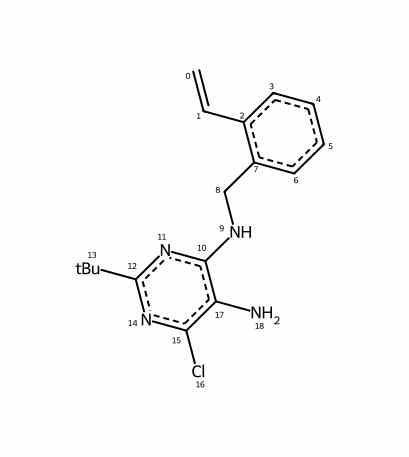 C=Cc1ccccc1CNc1nc(C(C)(C)C)nc(Cl)c1N